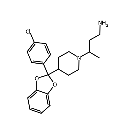 CC(CCN)N1CCC(C2(c3ccc(Cl)cc3)Oc3ccccc3O2)CC1